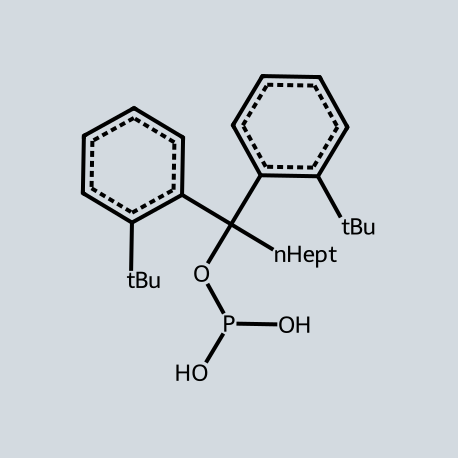 CCCCCCCC(OP(O)O)(c1ccccc1C(C)(C)C)c1ccccc1C(C)(C)C